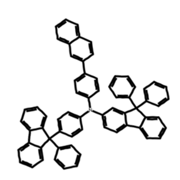 c1ccc(C2(c3ccc(N(c4ccc(-c5ccc6ccccc6c5)cc4)c4ccc5c(c4)C(c4ccccc4)(c4ccccc4)c4ccccc4-5)cc3)c3ccccc3-c3ccccc32)cc1